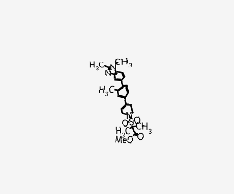 COC(=O)C(C)(C)S(=O)(=O)N1CC=C(c2ccc(-c3ccc4c(c3)nc(C)n4C)c(C)c2)CC1